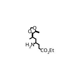 C=C1OCO/C1=C(\C)CC(N)CCC(=O)OCC